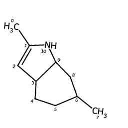 CC1=CC2CCC(C)CC2N1